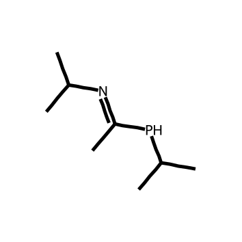 C/C(=N\C(C)C)PC(C)C